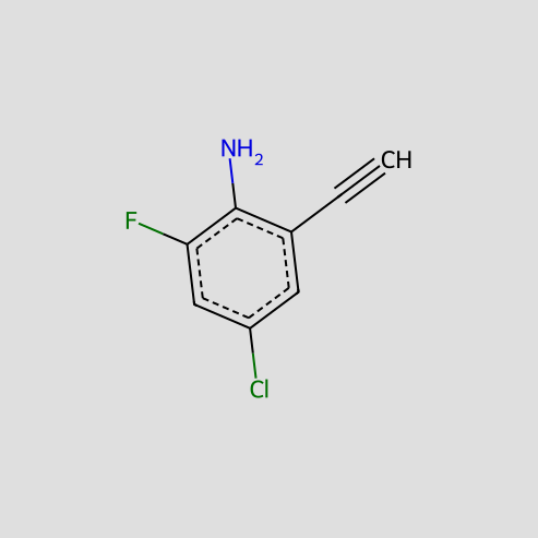 C#Cc1cc(Cl)cc(F)c1N